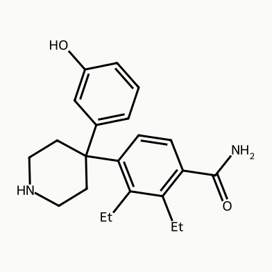 CCc1c(C(N)=O)ccc(C2(c3cccc(O)c3)CCNCC2)c1CC